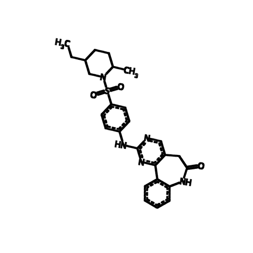 CCC1CCC(C)N(S(=O)(=O)c2ccc(Nc3ncc4c(n3)-c3ccccc3NC(=O)C4)cc2)C1